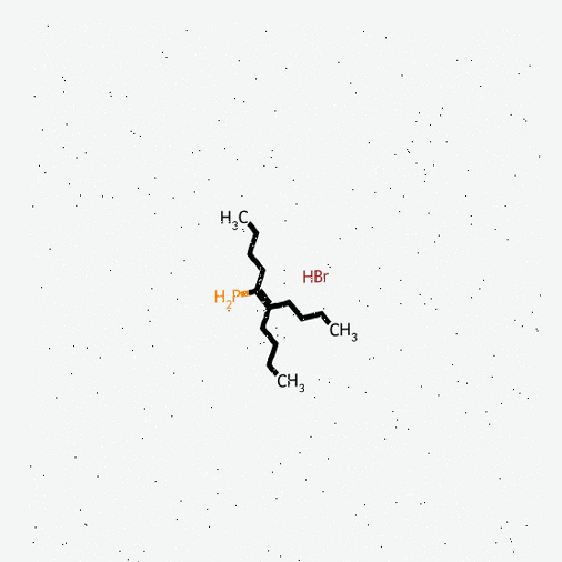 Br.CCCCC(P)=C(CCCC)CCCC